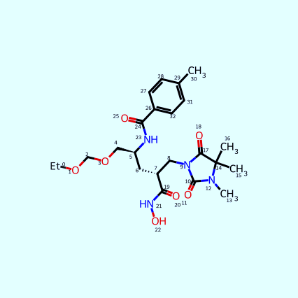 CCOCOC[C@H](C[C@H](CN1C(=O)N(C)C(C)(C)C1=O)C(=O)NO)NC(=O)c1ccc(C)cc1